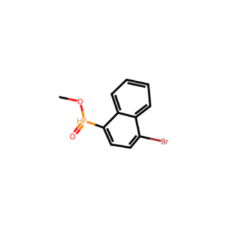 CO[PH](=O)c1ccc(Br)c2ccccc12